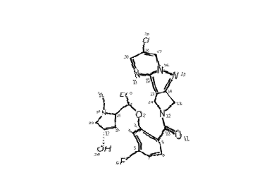 CCC(Oc1cc(F)ccc1C(=O)N1Cc2nn3cc(Cl)cnc3c2C1)C1C[C@H](O)CN1C